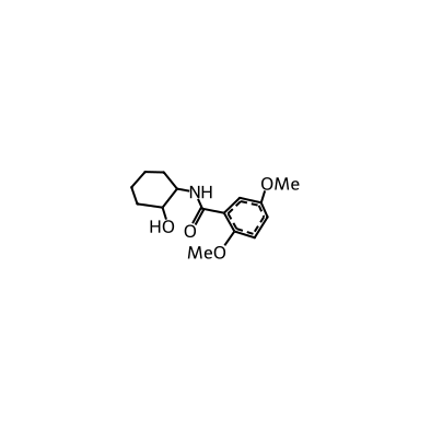 COc1ccc(OC)c(C(=O)NC2CCCCC2O)c1